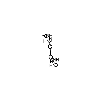 CC1=C[C@@H](c2ncc(-c3ccc(C#Cc4ccc5nc([C@@H]6CCCN6)[nH]c5c4)cc3)[nH]2)NC1